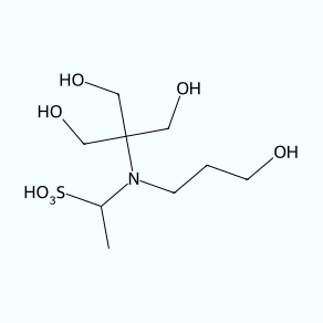 CC(N(CCCO)C(CO)(CO)CO)S(=O)(=O)O